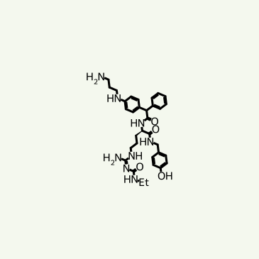 CCNC(=O)/N=C(/N)NCCC[C@@H](NC(=O)C(c1ccccc1)c1ccc(NCCCN)cc1)C(=O)NCc1ccc(O)cc1